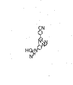 CN(C)C[C@@H]1CN(c2ccc3c(c2)Cn2cc(-c4ccc(C#N)cc4)cc2-c2nccn2-3)C[C@]1(C)O